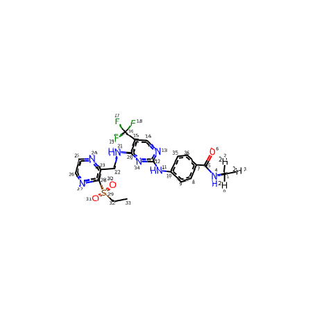 [2H]C([2H])([2H])NC(=O)c1ccc(Nc2ncc(C(F)(F)F)c(NCc3nccnc3S(=O)(=O)CC)n2)cc1